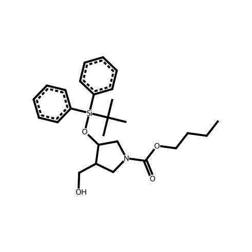 CCCCOC(=O)N1CC(CO)C(O[Si](c2ccccc2)(c2ccccc2)C(C)(C)C)C1